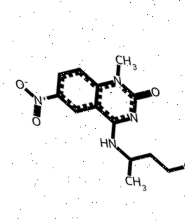 CC(CCO)Nc1nc(=O)n(C)c2ccc([N+](=O)[O-])cc12